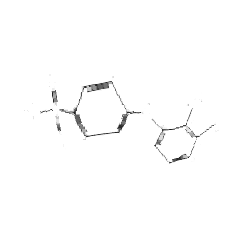 CS(=O)(=O)c1ccc(Oc2cccc(Cl)c2C#N)cc1